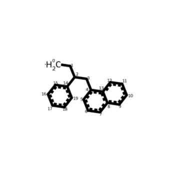 [CH2]CC(Cc1cccc2ccccc12)c1ccccc1